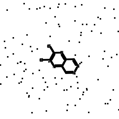 Clc1nc2cnncc2nc1Cl